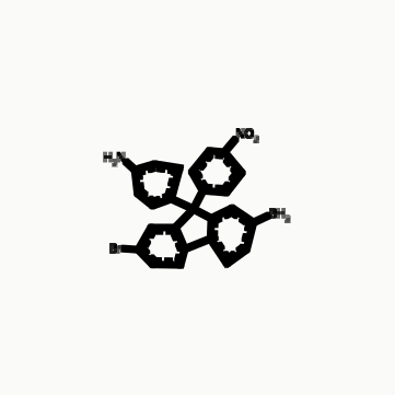 Bc1ccc2c(c1)C(c1ccc(N)cc1)(c1ccc([N+](=O)[O-])cc1)c1cc(Br)ccc1-2